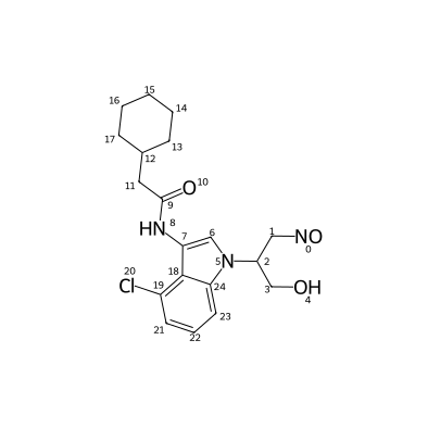 O=NCC(CO)n1cc(NC(=O)CC2CCCCC2)c2c(Cl)cccc21